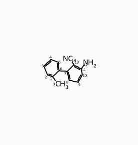 Cc1ccccc1-c1cccc(N)c1C#N